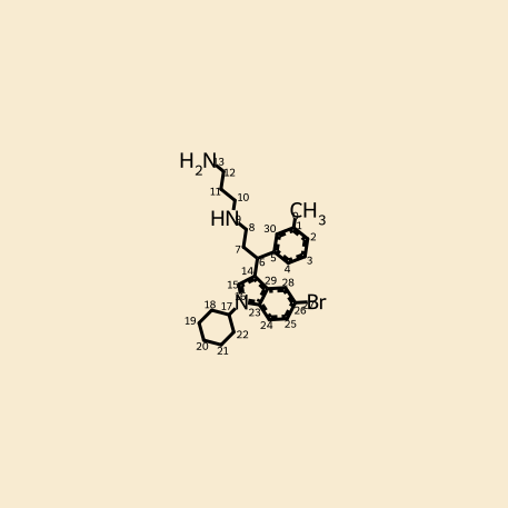 Cc1cccc(C(CCNCCCN)c2cn(C3CCCCC3)c3ccc(Br)cc23)c1